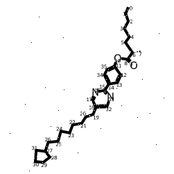 CCCCCC[C@H](C)C(=O)Oc1ccc(-c2ncc(CCCCCCCCC3CCCC3)cn2)cc1